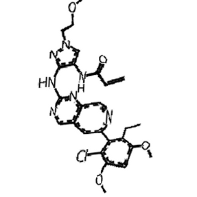 C=CC(=O)Nc1cn(CCOC)nc1Nc1ncc2cc(-c3c(Cl)c(OC)cc(OC)c3CC)ncc2n1